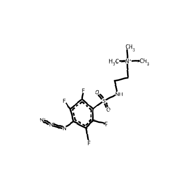 C[N+](C)(C)CCNS(=O)(=O)c1c(F)c(F)c(N=[N+]=[N-])c(F)c1F